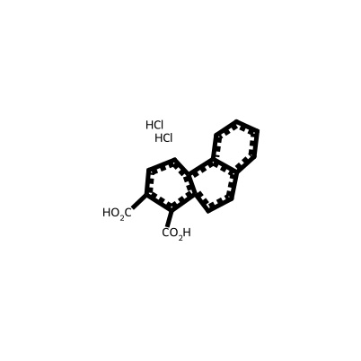 Cl.Cl.O=C(O)c1ccc2c(ccc3ccccc32)c1C(=O)O